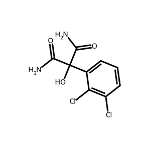 NC(=O)C(O)(C(N)=O)c1cccc(Cl)c1Cl